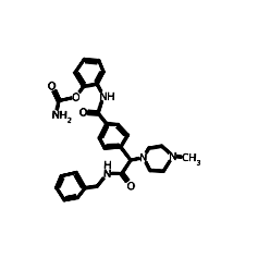 CN1CCN(C(C(=O)NCc2ccccc2)c2ccc(C(=O)Nc3ccccc3OC(N)=O)cc2)CC1